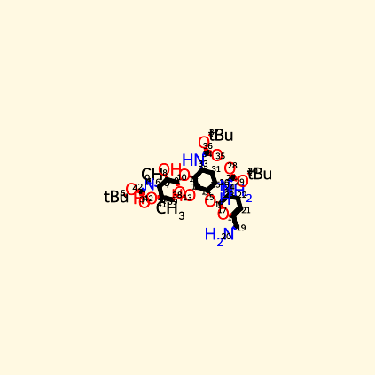 CN(C(=O)OC(C)(C)C)[C@@H]1[C@@H](O)[C@@H](O[C@@H]2[C@@H](O)[C@H](O[C@H]3OC(CN)=CC[C@H]3N)[C@@H](NC(=O)OC(C)(C)C)C[C@H]2NC(=O)OC(C)(C)C)OC[C@]1(C)O